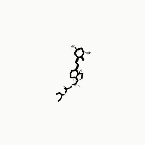 C=C1C(=CC=C2CCC[C@]3(C)[C@@H]([C@H](C)OCC(=O)OC(CC)CC)CC[C@@H]23)C[C@@H](O)C[C@@H]1O